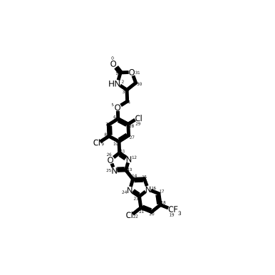 O=C1NC(COc2cc(Cl)c(-c3nc(-c4cn5cc(C(F)(F)F)cc(Cl)c5n4)no3)cc2Cl)CO1